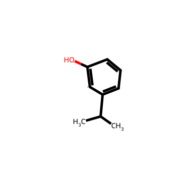 CC(C)c1[c]c(O)ccc1